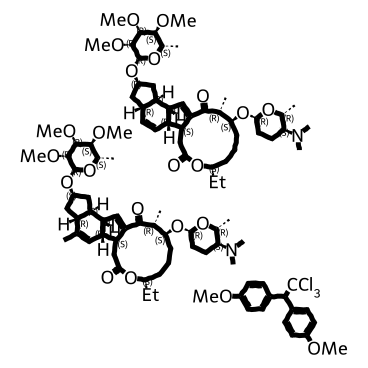 CC[C@H]1CCC[C@H](O[C@H]2CC[C@H](N(C)C)[C@@H](C)O2)[C@@H](C)C(=O)C2=C[C@@H]3[C@@H](C=C(C)[C@@H]4C[C@@H](O[C@@H]5O[C@@H](C)[C@H](OC)[C@@H](OC)[C@H]5OC)C[C@@H]34)[C@@H]2CC(=O)O1.CC[C@H]1CCC[C@H](O[C@H]2CC[C@H](N(C)C)[C@@H](C)O2)[C@@H](C)C(=O)C2=C[C@@H]3[C@@H](C=C[C@@H]4C[C@@H](O[C@@H]5O[C@@H](C)[C@H](OC)[C@@H](OC)[C@H]5OC)C[C@@H]34)[C@@H]2CC(=O)O1.COc1ccc(C(c2ccc(OC)cc2)C(Cl)(Cl)Cl)cc1